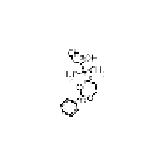 CCC(O)C(C)(C)[C@@H]1CCO[C@H](c2ccccc2)O1